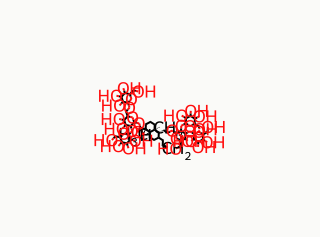 C=CCC1CC[C@H]2[C@@](C)(CCC[C@@]2(C)C(=O)OC2OC(COC3OC(CO)C(O)C(O)C3O)C(O)C(O)C2OC2OC(CO)C(O)C(O)C2O)[C@@H]1CCOC1OC(CO)C(O)C(OC2OC(CO)C(O)C(O)C2O)C1OC1OC(CO)C(O)C(O)C1O